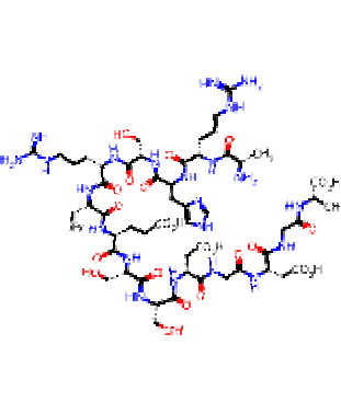 CC(C)C[C@H](NC(=O)[C@H](CCCNC(=N)N)NC(=O)[C@H](CO)NC(=O)[C@H](Cc1c[nH]cn1)NC(=O)[C@H](CCCNC(=N)N)NC(=O)[C@H](C)N)C(=O)N[C@@H](CCC(=O)O)C(=O)N[C@@H](CO)C(=O)N[C@@H](CO)C(=O)N[C@@H](CC(=O)O)C(=O)NCC(=O)N[C@@H](CC(=O)O)C(=O)NCC(=O)N[C@@H](C)C(=O)O